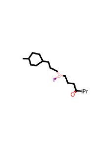 CC1CCC(CCCB(I)CCCC(=O)C(C)C)CC1